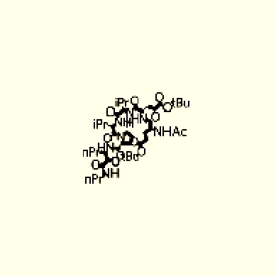 CCCNC(=O)C(=O)C(CCC)NC(=O)[C@@H]1CCCN1C(=O)[C@@H](NC(=O)[C@@H](NC(=O)[C@H](CCC(=O)OC(C)(C)C)NC(=O)[C@H](CCC(=O)OC(C)(C)C)NC(C)=O)C(C)C)C(C)C